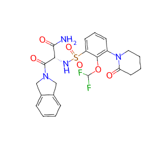 NC(=O)[C@H](NS(=O)(=O)c1cccc(N2CCCCC2=O)c1OC(F)F)C(=O)N1Cc2ccccc2C1